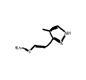 CCSC=Cc1n[nH]cc1C